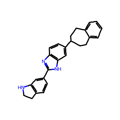 c1ccc2c(c1)CCC(c1ccc3nc(-c4ccc5c(c4)NCC5)[nH]c3c1)CC2